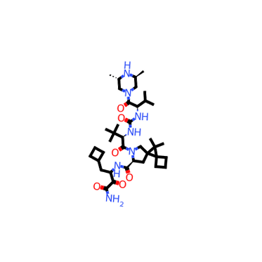 CC(C)[C@H](NC(=O)N[C@H](C(=O)N1CC2(C[C@H]1C(=O)NC(CC1CCC1)C(=O)C(N)=O)C(C)(C)C21CCC1)C(C)(C)C)C(=O)N1C[C@H](C)N[C@@H](C)C1